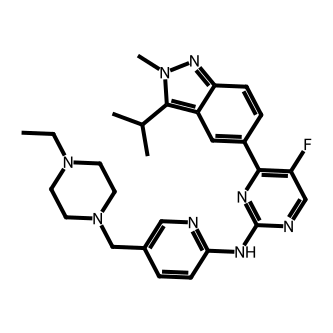 CCN1CCN(Cc2ccc(Nc3ncc(F)c(-c4ccc5nn(C)c(C(C)C)c5c4)n3)nc2)CC1